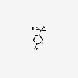 Cc1ccc(C2(C)CC2)cn1